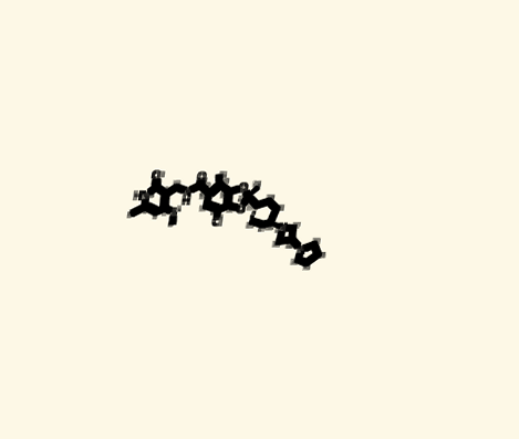 CSc1cc(C)[nH]c(=O)c1CNC(=O)c1cc(Cl)c2c(c1C)O[C@](C)([C@H]1CC[C@H](N3CC(N4CCCC4)C3)CC1)O2